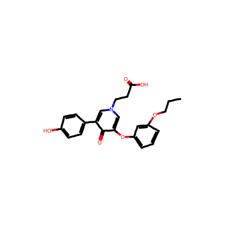 CCCOc1cccc(Oc2cn(CCC(=O)O)cc(-c3ccc(O)cc3)c2=O)c1